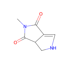 CN1C(=O)C2=CNCC2C1=O